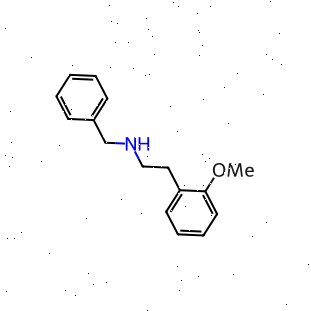 COc1ccccc1CCNCc1ccccc1